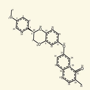 COc1ccc([C@@H]2COc3cc(Oc4ccc5ncc(C)c(=O)n5c4)cnc3O2)nc1